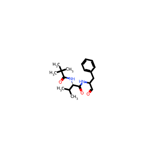 CC(C)[C@H](NC(=O)C(C)(C)C)C(=O)NC(C=O)Cc1ccccc1